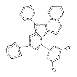 Clc1cc(Cl)cc(-c2cc(-c3ccccc3)cc3c2c2ccc4ccccc4c2n3-c2ccccc2)c1